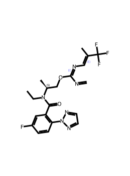 C=N/C(=N\C=C(/C)C(F)(F)F)OC[C@H](C)N(CC)C(=O)c1cc(F)ccc1-n1nccn1